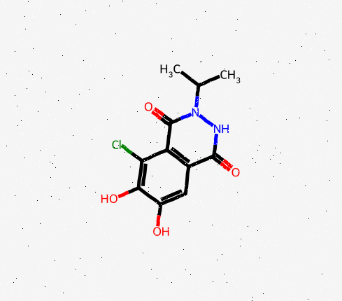 CC(C)n1[nH]c(=O)c2cc(O)c(O)c(Cl)c2c1=O